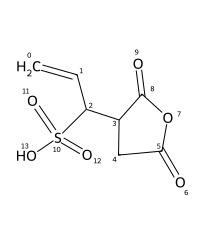 C=CC(C1CC(=O)OC1=O)S(=O)(=O)O